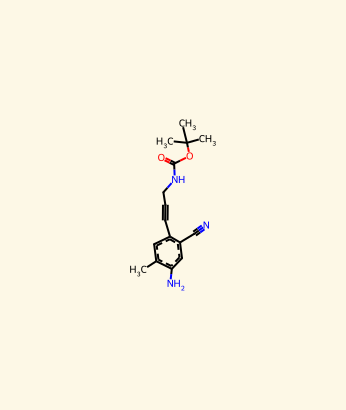 Cc1cc(C#CCNC(=O)OC(C)(C)C)c(C#N)cc1N